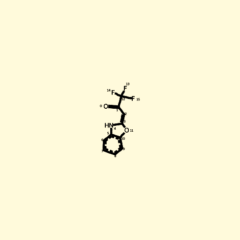 O=C(/C=C1\Nc2ccccc2O1)C(F)(F)F